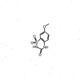 COc1ccc2c(c1)S(=O)(=O)NC(=O)N2